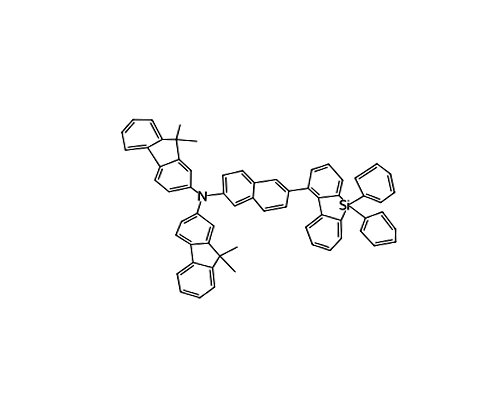 CC1(C)c2ccccc2-c2ccc(N(c3ccc4c(c3)C(C)(C)c3ccccc3-4)c3ccc4cc(-c5cccc6c5-c5ccccc5[Si]6(c5ccccc5)c5ccccc5)ccc4c3)cc21